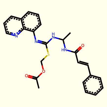 CC(=O)OCS/C(=N/c1cccc2cccnc12)NC(C)NC(=O)/C=C/c1ccccc1